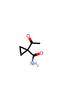 CC(=O)C1(C(N)=O)CC1